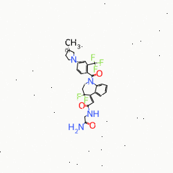 C[C@H]1CCN(c2ccc(C(=O)N3CCC(F)(F)C(=CC(=O)NCC(N)=O)c4ccccc43)c(C(F)(F)F)c2)C1